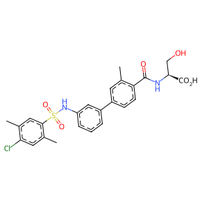 Cc1cc(S(=O)(=O)Nc2cccc(-c3ccc(C(=O)N[C@@H](CO)C(=O)O)c(C)c3)c2)c(C)cc1Cl